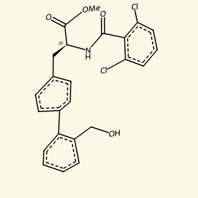 COC(=O)[C@H](Cc1ccc(-c2ccccc2CO)cc1)NC(=O)c1c(Cl)cccc1Cl